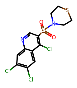 O=S(=O)(c1cnc2cc(Cl)c(Cl)cc2c1Cl)N1CCSCC1